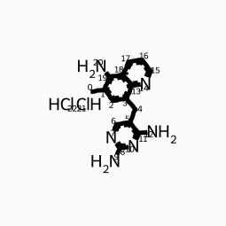 Cc1cc(Cc2cnc(N)nc2N)c2ncccc2c1N.Cl.Cl